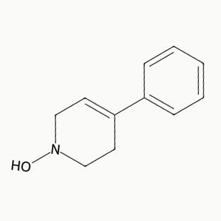 ON1CC=C(c2ccccc2)CC1